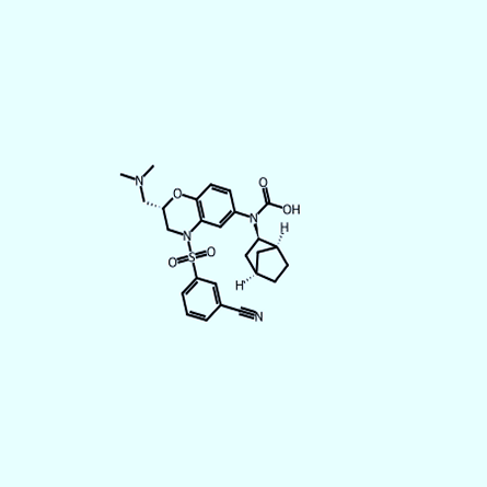 CN(C)C[C@H]1CN(S(=O)(=O)c2cccc(C#N)c2)c2cc(N(C(=O)O)[C@@H]3C[C@@H]4CC[C@H]3C4)ccc2O1